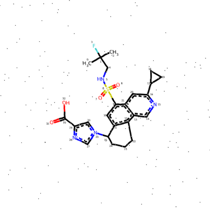 CC(C)(F)CNS(=O)(=O)c1cc2c(c3cnc(C4CC4)cc13)CCCC2n1cnc(C(=O)O)c1